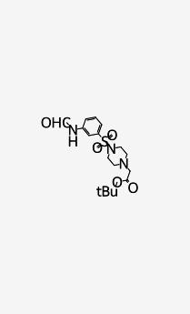 CC(C)(C)OC(=O)CN1CCN(S(=O)(=O)c2cccc(NC=O)c2)CC1